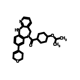 CC(C)OC1CCC(C(=O)N2Cc3cccnc3Nc3ccc(C4=CCOCC4)cc32)CC1